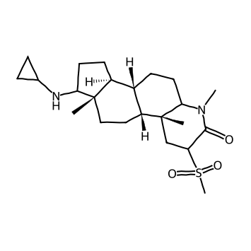 CN1C(=O)C(S(C)(=O)=O)C[C@@]2(C)C1CC[C@@H]1[C@H]2CC[C@]2(C)C(NC3CC3)CC[C@@H]12